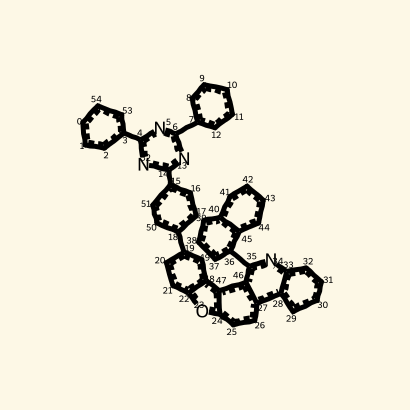 c1ccc(-c2nc(-c3ccccc3)nc(-c3ccc(-c4ccc5oc6ccc7c8ccccc8nc(-c8cccc9ccccc89)c7c6c5c4)cc3)n2)cc1